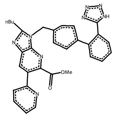 CCCCc1nc2cc(-c3ccccn3)c(C(=O)OC)nc2n1Cc1ccc(-c2ccccc2-c2nnn[nH]2)cc1